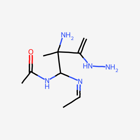 C=C(NN)C(C)(N)C(/N=C\C)NC(C)=O